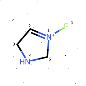 F[N+]1=CCNC1